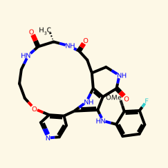 COc1c(F)cccc1Nc1c2[nH]c3c1C(=O)NCC3CC(=O)N[C@@H](C)C(=O)NCCCOc1cnccc1-2